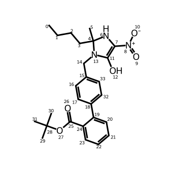 CCCCC1(C)NC([N+](=O)[O-])=C(O)N1Cc1ccc(-c2ccccc2C(=O)OC(C)(C)C)cc1